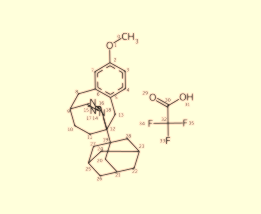 COc1ccc2c(c1)CC1CCC(C2)n2c1nnc2C12CC3CC(CC(C3)C1)C2.O=C(O)C(F)(F)F